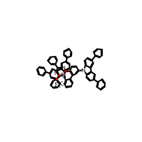 FC(F)(F)c1cccc(-c2cc(-n3c4ccc(-c5ccccc5)cc4c4cc(-c5ccccc5)ccc43)ccc2-c2nc(-c3ccccc3)nc(-c3ccccc3)n2)c1-n1c2ccc(-c3ccccc3)cc2c2cc(-c3ccccc3)ccc21